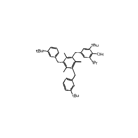 Cc1c(Cc2cccc(C(C)(C)C)c2)c(C)c(Cc2cc(C(C)C)c(O)c(C(C)(C)C)c2)c(C)c1Cc1cccc(C(C)(C)C)c1